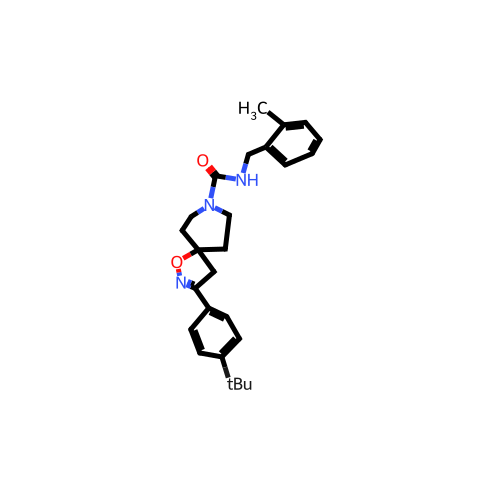 Cc1ccccc1CNC(=O)N1CCC2(CC1)CC(c1ccc(C(C)(C)C)cc1)=NO2